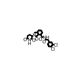 O=C(Cc1ccc(Cl)c(Cl)c1)NC(=O)c1cccc2c1C(=O)N(C1CCC(=O)NC1=O)C2